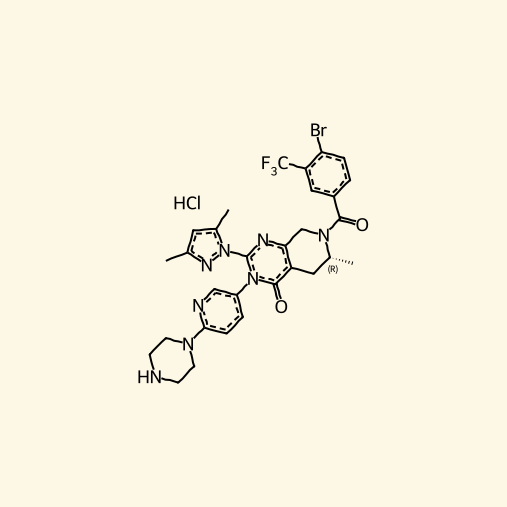 Cc1cc(C)n(-c2nc3c(c(=O)n2-c2ccc(N4CCNCC4)nc2)C[C@@H](C)N(C(=O)c2ccc(Br)c(C(F)(F)F)c2)C3)n1.Cl